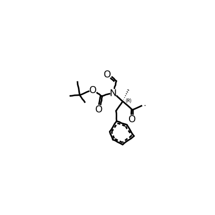 [CH2]C(=O)[C@@](C)(Cc1ccccc1)N(C=O)C(=O)OC(C)(C)C